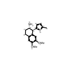 COc1cc2c(cc1OC)[C@H](c1ccc(C)s1)[C@@H](N)CC2